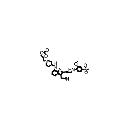 COc1cc(S(C)(=O)=O)ccc1NCC#Cc1sc2c(NC3CCN(CC4COC(=O)O4)CC3)cccc2c1CC#N